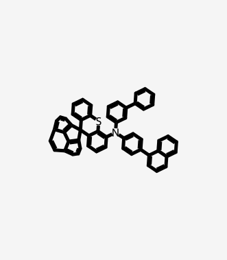 c1ccc(-c2cccc(N(c3ccc(-c4cccc5ccccc45)cc3)c3cccc4c3Sc3ccccc3C43c4cccc5ccc6cccc3c6c45)c2)cc1